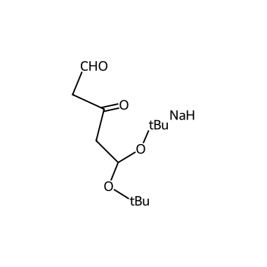 CC(C)(C)OC(CC(=O)CC=O)OC(C)(C)C.[NaH]